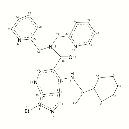 CCn1ncc2c(NC(C)C3CCCCC3)c(C(=O)N(Cc3ccccn3)Cc3ccccn3)cnc21